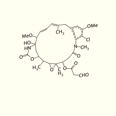 COc1cc2cc(c1Cl)N(C)C(=O)CC(OC(=O)CC=O)C1(C)OC1C(C)C1CC(O)(NC(=O)O1)C(OC)/C=C/C=C(\C)C2